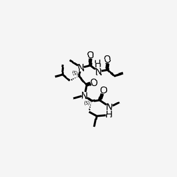 CCC(=O)NC(=O)N(C)[C@@H](CC(C)C)C(=O)N(C)[C@@H](CC(C)C)C(=O)NC